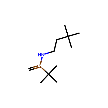 C=S(NCCC(C)(C)C)C(C)(C)C